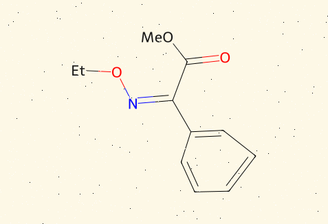 CCON=C(C(=O)OC)c1ccccc1